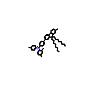 CCCCCCCCC1(CCCCCCCC)c2cc(C)ccc2-c2ccc(-c3ccc(N(c4ccc(C)cc4)c4ccc(C)cc4C)cc3)cc21